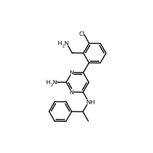 CC(Nc1cc(-c2cccc(Cl)c2CN)nc(N)n1)c1ccccc1